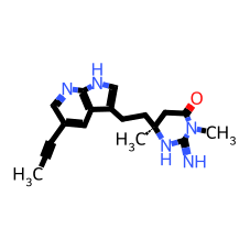 CC#Cc1cnc2[nH]cc(CC[C@@]3(C)CC(=O)N(C)C(=N)N3)c2c1